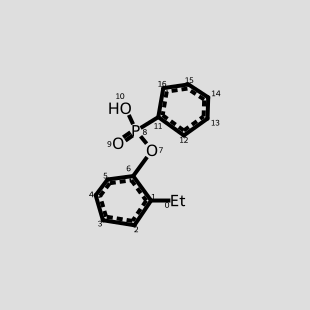 CCc1ccccc1OP(=O)(O)c1ccccc1